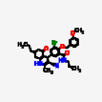 CCCNC(=O)c1cc(C2C(C#N)=C(C)NC3=C2C(=O)CC(CCC)C3)cc(Br)c1OCc1cccc(OC)c1